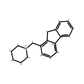 c1ccc2c(c1)Cc1c(CN3CCCCC3)cccc1-2